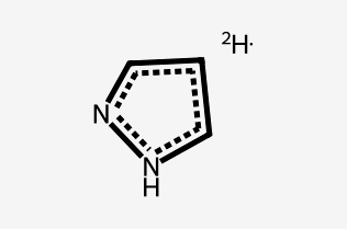 [2H].c1cn[nH]c1